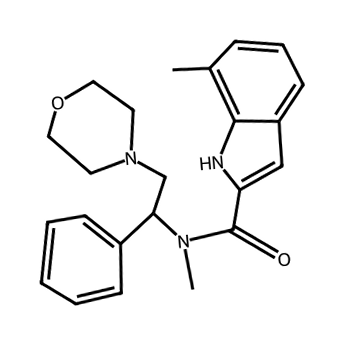 Cc1cccc2cc(C(=O)N(C)C(CN3CCOCC3)c3ccccc3)[nH]c12